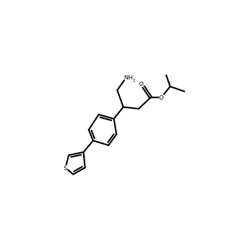 CC(C)OC(=O)CC(CN)c1ccc(-c2ccsc2)cc1